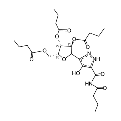 CCCC(=O)NC(=O)c1[nH]nc(C2O[C@H](COC(=O)CCC)[C@H](OC(=O)CCC)[C@H]2OC(=O)CCC)c1O